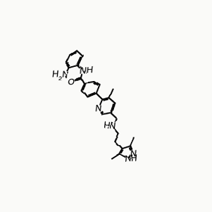 Cc1cc(CNCCc2c(C)n[nH]c2C)cnc1-c1ccc(C(=O)Nc2ccccc2N)cc1